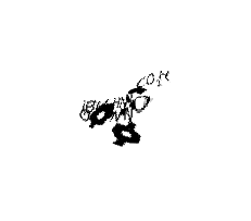 CC[C@@H](C)Oc1ccc(/N=c2\[nH]n(C[C@H](C)C(=O)O)c(=O)n2Cc2ccc(C)cc2)cc1C